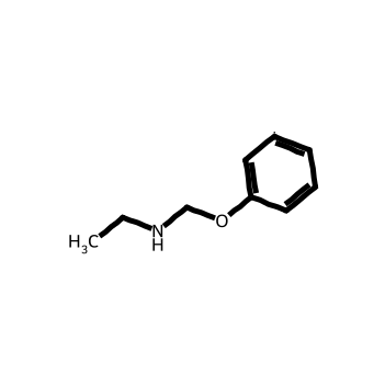 CCNCOc1c[c]ccc1